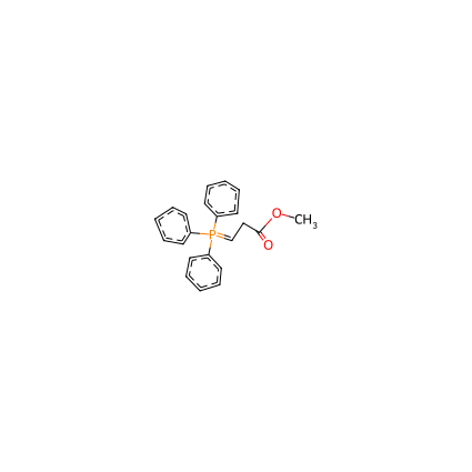 COC(=O)CC=P(c1ccccc1)(c1ccccc1)c1ccccc1